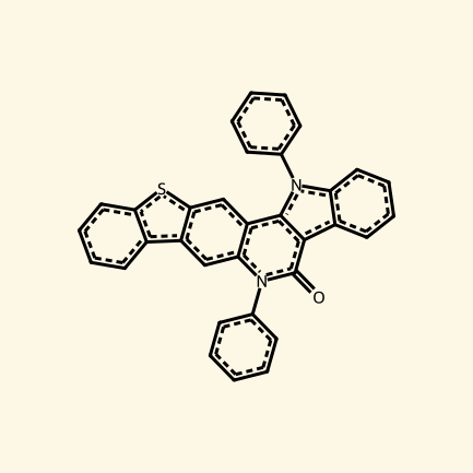 O=c1c2c3ccccc3n(-c3ccccc3)c2c2cc3sc4ccccc4c3cc2n1-c1ccccc1